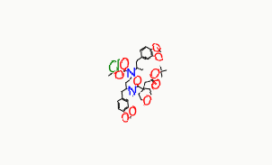 CC(Cl)OC(=O)N(CCC(Cc1ccc2c(c1)OCO2)N(C)C(=O)C1(CC(=O)OC(C)(C)C)CCOCC1)C(C)Cc1ccc2c(c1)OCO2